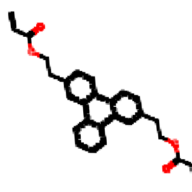 C=CC(=O)OCCc1ccc2c3ccc(CCOC(=O)C=C)cc3c3ccccc3c2c1